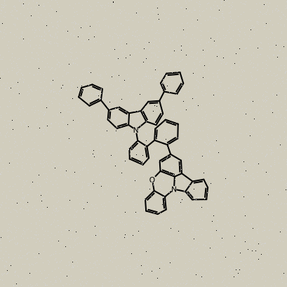 c1ccc(-c2ccc3c(c2)c2cc(-c4ccccc4)ccc2n3-c2ccccc2-c2ccccc2-c2cc3c4c(c2)c2ccccc2n4-c2ccccc2O3)cc1